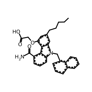 CCCCCc1cc(OCC(=O)O)c2c3c(C(N)=O)cccc3n(Cc3cccc4ccccc34)c2c1